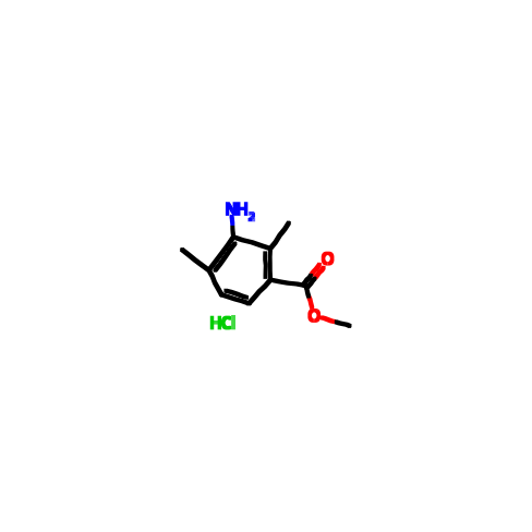 COC(=O)c1ccc(C)c(N)c1C.Cl